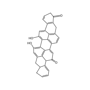 O=C1CC=CC2=C1Cc1ccc3c4c5c6c(cc(O)c5c5c(O)cc2c1c35)CC1CC=CC=C1C6C(=O)C=4